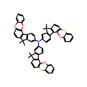 CC1(C)c2cc(N(c3ccc4c(c3)C(C)(C)c3ccc5c(c3-4)Oc3ccccc3S5)c3ccc4c(c3)C(C)(C)c3ccc5c(c3-4)Oc3ccccc3S5)ccc2-c2c1ccc1c2Oc2ccccc2O1